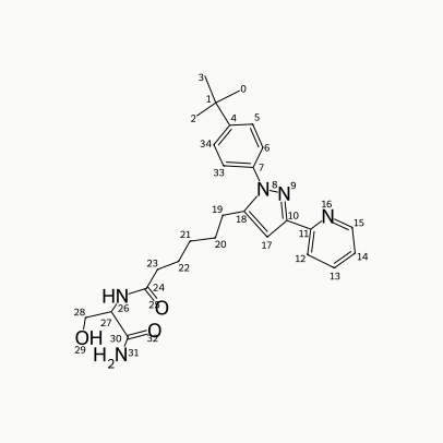 CC(C)(C)c1ccc(-n2nc(-c3ccccn3)cc2CCCCCC(=O)NC(CO)C(N)=O)cc1